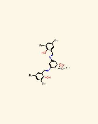 CC(=O)[O-].CC(=O)[O-].CCC(C)c1cc(C=Nc2cccc(N=Cc3cc(C(C)CC)cc(C(C)C)c3O)c2)c(O)c(C(C)C)c1.[Co+2]